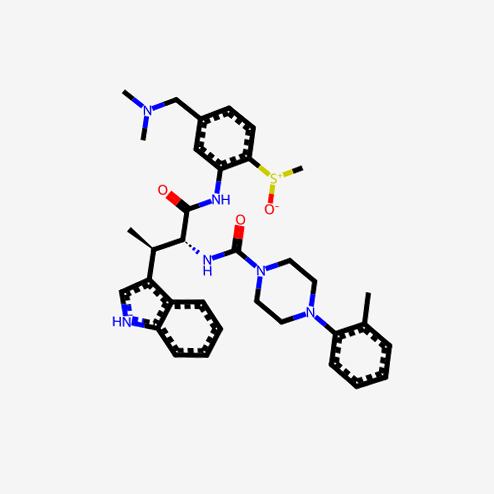 Cc1ccccc1N1CCN(C(=O)N[C@@H](C(=O)Nc2cc(CN(C)C)ccc2[S+](C)[O-])[C@H](C)c2c[nH]c3ccccc23)CC1